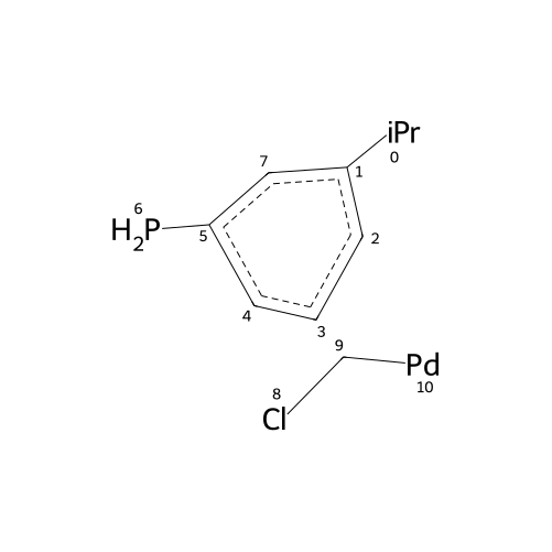 CC(C)c1cccc(P)c1.Cl[CH2][Pd]